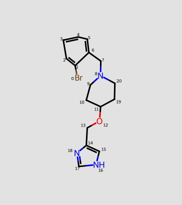 Brc1ccccc1CN1CCC(OCc2c[nH]cn2)CC1